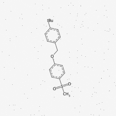 CC(C)(C)c1ccc(COc2ccc(S(C)(=O)=O)cc2)cc1